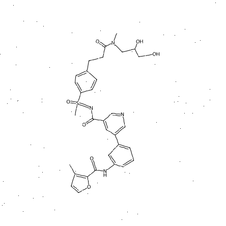 Cc1ccoc1C(=O)Nc1cccc(-c2cncc(C(=O)N=S(C)(=O)c3ccc(CCC(=O)N(C)CC(O)CO)cc3)c2)c1